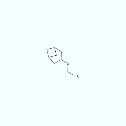 CCOC1CC2CC(C2)C1